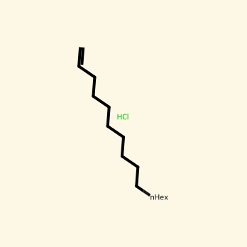 C=CCCCCCCCCCCCCCC.Cl